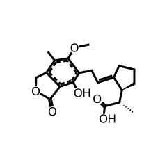 COc1c(C)c2c(c(O)c1CC=C1CCC[C@H]1[C@H](C)C(=O)O)C(=O)OC2